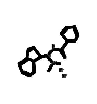 C[SiH](C)[Zr+2]([NH]C(=O)c1ccccc1)[CH]1C=Cc2ccccc21.[Cl-].[Cl-]